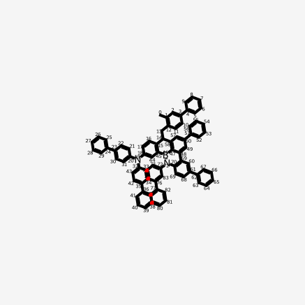 Cc1cc(-c2ccccc2)ccc1CC1c2ccc(N(c3ccc(-c4ccccc4)cc3)c3ccc(-c4ccccc4)cc3)cc2B2c3c(cc(-c4ccccc4)cc31)-c1cc(-c3ccccc3)ccc1N2c1cccc(-c2ccccc2)c1